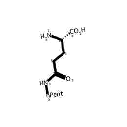 CCCCCNC(=O)CC[C@H](N)C(=O)O